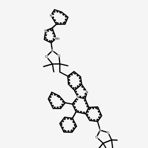 CC1(C)OB(c2ccc3c(c2)c(-c2ccccc2)c(-c2ccccc2)n2c4cc(CC5(C)OB(c6cnc(-c7ccccn7)[nH]6)OC5(C)C)ccc4nc32)OC1(C)C